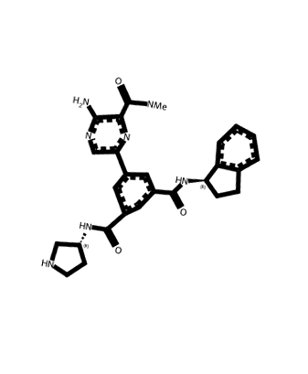 CNC(=O)c1nc(-c2cc(C(=O)N[C@@H]3CCNC3)cc(C(=O)N[C@@H]3CCc4ccccc43)c2)cnc1N